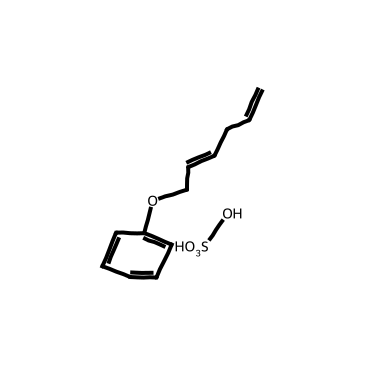 C=CCC=CCOc1ccccc1.O=S(=O)(O)O